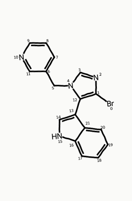 Brc1ncn(Cc2cccnc2)c1-c1c[nH]c2ccccc12